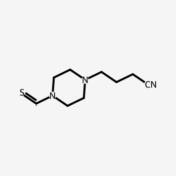 N#CCCCN1CCN([C]=S)CC1